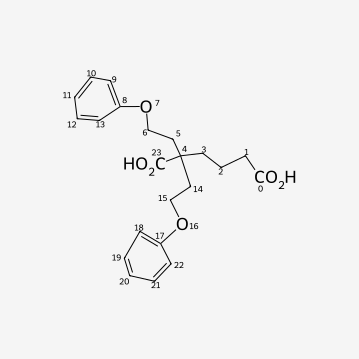 O=C(O)CCCC(CCOc1ccccc1)(CCOc1ccccc1)C(=O)O